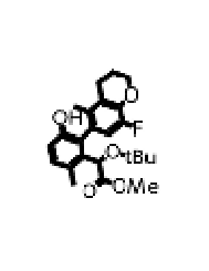 COC(=O)C(OC(C)(C)C)c1c(C)ccc(O)c1-c1cc(F)c2c(c1C)CCCO2